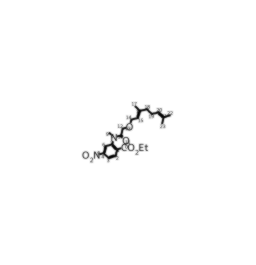 CCOC(=O)c1ccc([N+](=O)[O-])cc1N(C)C(=O)COC/C=C(\C)CCC=C(C)C